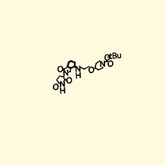 CC(C)(C)OC(=O)N1CCC(OCCCNc2cccc3c2CN(C2CCC(=O)NC2=O)C3=O)CC1